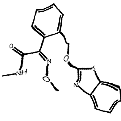 CNC(=O)C(=NOC)c1ccccc1COc1nc2ccccc2s1